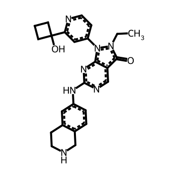 CCn1c(=O)c2cnc(Nc3ccc4c(c3)CCNC4)nc2n1-c1ccnc(C2(O)CCC2)c1